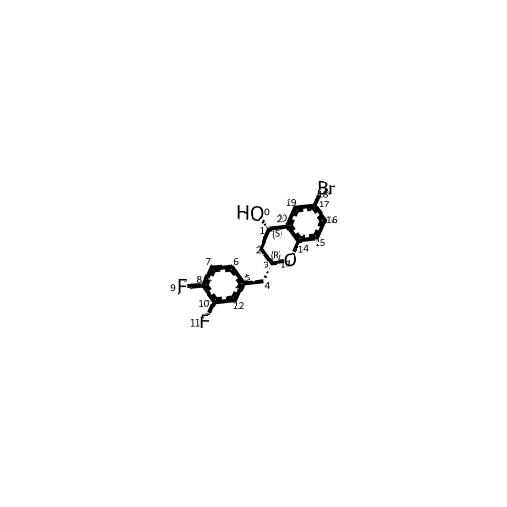 O[C@H]1C[C@@H](Cc2ccc(F)c(F)c2)Oc2ccc(Br)cc21